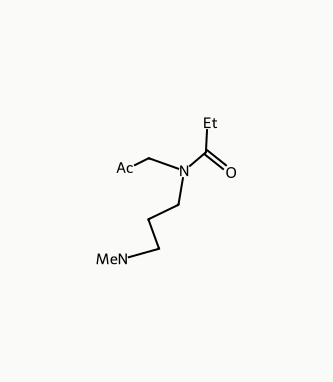 CCC(=O)N(CCCNC)CC(C)=O